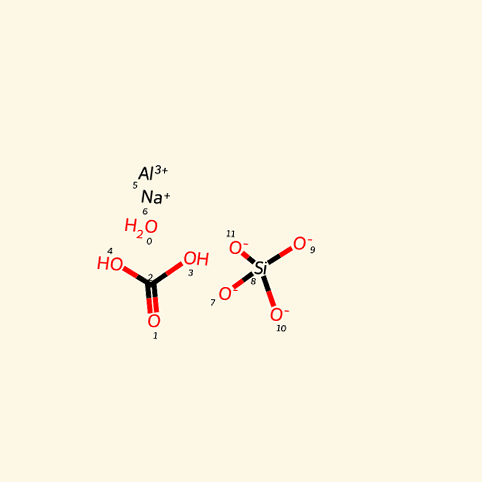 O.O=C(O)O.[Al+3].[Na+].[O-][Si]([O-])([O-])[O-]